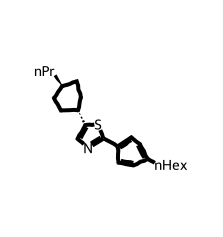 CCCCCCc1ccc(-c2ncc([C@H]3CC[C@H](CCC)CC3)s2)cc1